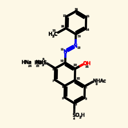 CC(=O)Nc1cc(S(=O)(=O)O)cc2cc(S(=O)(=O)O)c(/N=N/c3ccccc3C)c(O)c12.[NaH].[NaH]